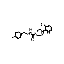 Cc1ccc(CCNC(=O)N2CCN(c3ncccc3Cl)CC2)cc1